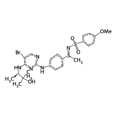 COc1ccc(S(=O)(=O)/N=S(\C)c2ccc(Nc3ncc(Br)c(N[C@H](C)C(C)(C)O)n3)cc2)cc1